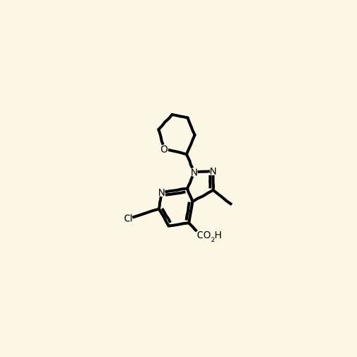 Cc1nn(C2CCCCO2)c2nc(Cl)cc(C(=O)O)c12